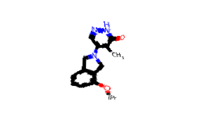 Cc1c(N2Cc3cccc(OC(C)C)c3C2)cn[nH]c1=O